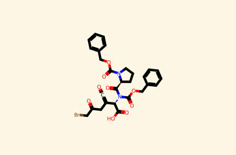 O=C=C(CC(=O)CBr)[C@@H](C(=O)O)N(C(=O)OCc1ccccc1)C(=O)[C@@H]1CCCN1C(=O)OCc1ccccc1